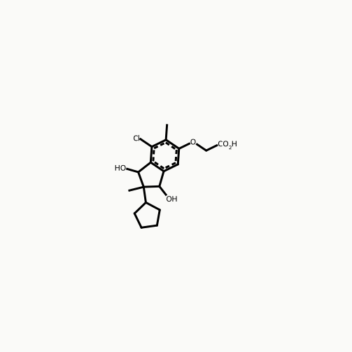 Cc1c(OCC(=O)O)cc2c(c1Cl)C(O)C(C)(C1CCCC1)C2O